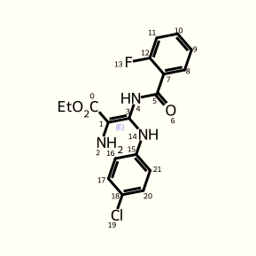 CCOC(=O)/C(N)=C(\NC(=O)c1ccccc1F)Nc1ccc(Cl)cc1